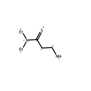 CCN(CC)C(=S)CC[NH]